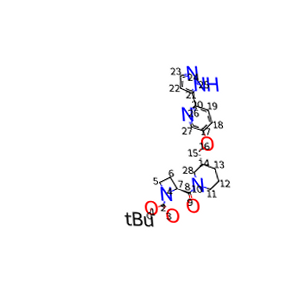 CC(C)(C)OC(=O)N1CC[C@H]1C(=O)N1CCC[C@@H](COc2ccc(-c3ccn[nH]3)nc2)C1